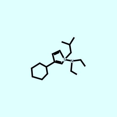 CCN(CC)S1(CC(C)C)C=CC(C2CCCCC2)=C1